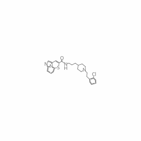 O=C(NCCCC1CCN(CCc2ccccc2Cl)CC1)C1=Cc2cnc3cccc(n23)S1